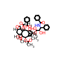 CO[C@H]1[C@H](OC(C)=O)C2=C(C)[C@@H](OC(=O)[C@H](O)[C@@H](NC(=O)c3ccccc3)c3ccccc3)C[C@@](O)([C@@H](OC(=O)c3ccccc3)[C@@H]3[C@]4(OC(C)=O)CO[C@@H]4C[C@H](O)[C@]31C)C2(C)C